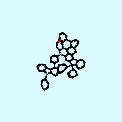 c1ccc(-c2cccc3cccc(-c4ccccc4N(c4cccc(-c5cccc6c5c5ccccc5n6-c5ccccc5)c4)c4ccc5c(c4)C(c4ccccc4)(c4ccccc4)c4ccccc4-5)c23)cc1